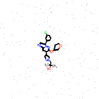 CC(C)(O)Cn1cc(-c2cc3ncc(-c4cccc(Cl)c4)n3nc2OC2CCOC2)cn1